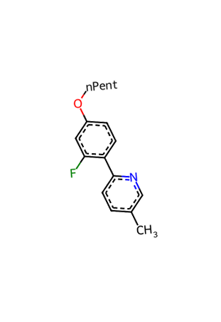 CCCCCOc1ccc(-c2ccc(C)cn2)c(F)c1